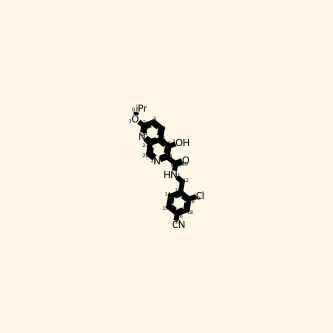 CC(C)Oc1ccc2c(O)c(C(=O)NCc3ccc(C#N)cc3Cl)ncc2n1